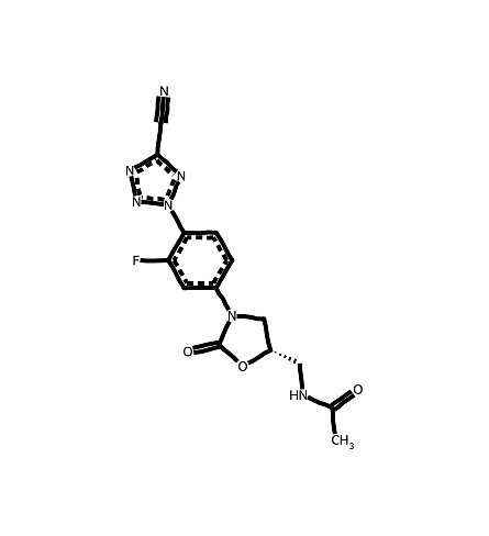 CC(=O)NC[C@H]1CN(c2ccc(-n3nnc(C#N)n3)c(F)c2)C(=O)O1